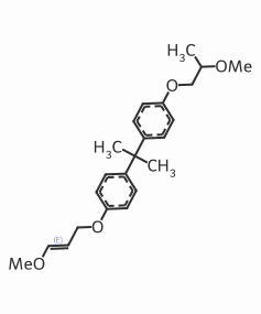 CO/C=C/COc1ccc(C(C)(C)c2ccc(OCC(C)OC)cc2)cc1